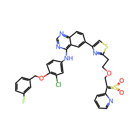 O=S(=O)=C(COCCc1nc(-c2ccc3ncnc(Nc4ccc(OCc5cccc(F)c5)c(Cl)c4)c3c2)cs1)c1ccccn1